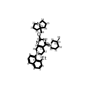 CCc1cccc2cccc(N3CCc4c(nc(OCC56CCCN5CCC6)nc4N4CCC[C@H](C)C4)C3)c12